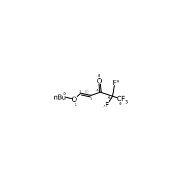 CCCCO/C=C/C(=O)C(F)(F)C(F)(F)F